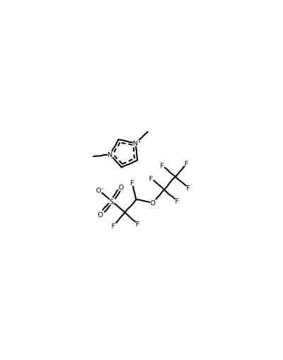 Cn1cc[n+](C)c1.O=S(=O)([O-])C(F)(F)C(F)OC(F)(F)C(F)(F)F